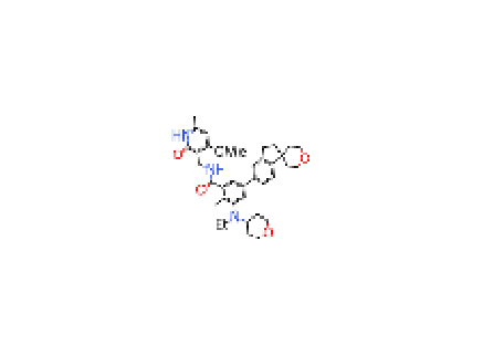 CCN(c1cc(-c2ccc3c(c2)CCC32CCOCC2)cc(C(=O)NCc2c(OC)cc(C)[nH]c2=O)c1C)C1CCOCC1